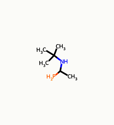 CC(P)NC(C)(C)C